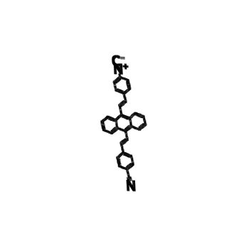 [C-]#[N+]c1ccc(C=Cc2c3ccccc3c(C=Cc3ccc(C#N)cc3)c3ccccc23)cc1